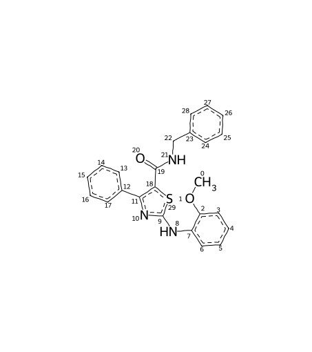 COc1ccccc1Nc1nc(-c2ccccc2)c(C(=O)NCc2ccccc2)s1